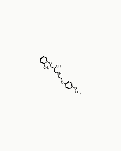 COc1ccc(OCCNCC(O)COc2ccccc2C)cc1